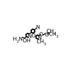 Cc1cc(Oc2cc(C#N)ccc2-c2ccc(C(O)CN)cn2)cc(OCCOC(C)C)n1